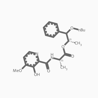 CCCCOC(c1ccccc1)[C@H](C)OC(=O)[C@H](C)NC(=O)c1nccc(OC)c1O